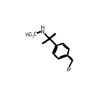 CC(C)(NC(=O)O)c1ccc(CBr)cc1